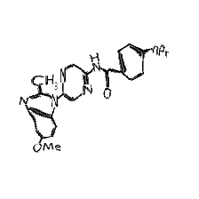 CCCc1ccc(C(=O)Nc2cnc(-n3c(C)nc4cc(OC)ccc43)cn2)cc1